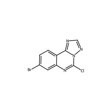 Clc1nc2cc(Br)ccc2c2ncnn12